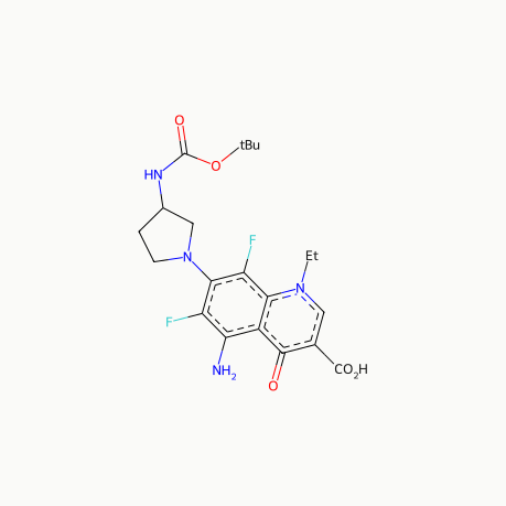 CCn1cc(C(=O)O)c(=O)c2c(N)c(F)c(N3CCC(NC(=O)OC(C)(C)C)C3)c(F)c21